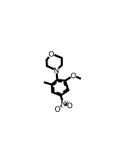 COc1cc([N+](=O)[O-])cc(C)c1N1CCOCC1